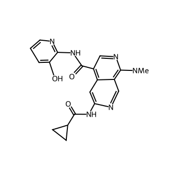 CNc1ncc(C(=O)Nc2ncccc2O)c2cc(NC(=O)C3CC3)ncc12